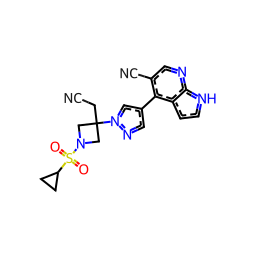 N#CCC1(n2cc(-c3c(C#N)cnc4[nH]ccc34)cn2)CN(S(=O)(=O)C2CC2)C1